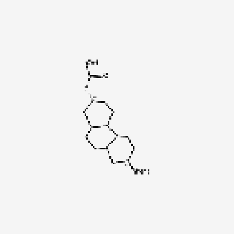 CCCCCCCCC(=O)O[C@@H]1CCC2C(CCC3C[C@H](CCCCC)CCC32)C1